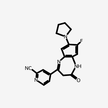 N#Cc1cc(C2=Nc3cc(N4CCCC4)c(F)cc3NC(=O)C2)ccn1